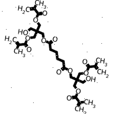 C=C(C)C(=O)OCC(CO)(COC(=O)CCCCC(=O)OCC(CO)(COC(=O)C(=C)C)COC(=O)C(=C)C)COC(=O)C(=C)C